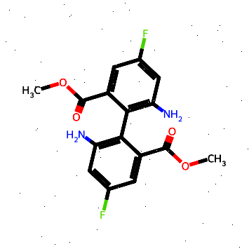 COC(=O)c1cc(F)cc(N)c1-c1c(N)cc(F)cc1C(=O)OC